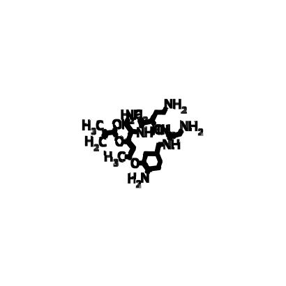 C=C(NC(CN)C(CC(C)OC1CC(CNC(=N)CN)CCC1N)OC(O)C(=C)C)C(C)CCN